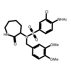 COc1ccc(CN(C2CCCCNC2=O)S(=O)(=O)c2ccc(NC(C)=O)c(Cl)c2)cc1OC